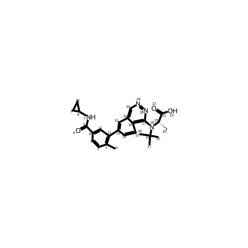 Cc1ccc(C(=O)NC2CC2)cc1-c1ccc2c(N([C@@H](C)C(=O)O)C(C)(C)C)nncc2c1